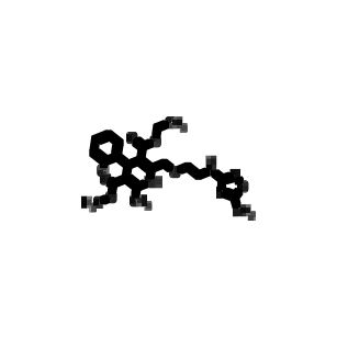 CCOC(=O)C1=C(COCCNc2noc(N)n2)NC(C)=C(C(=O)OC)C1c1ccccc1Cl